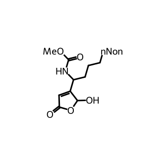 CCCCCCCCCCCCC(NC(=O)OC)C1=CC(=O)OC1O